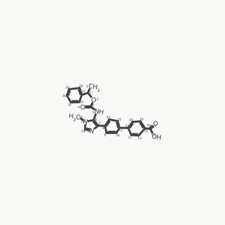 CC(OC(=O)Nc1c(-c2ccc(-c3ccc(C(=O)O)cc3)cc2)ncn1C)c1ccccc1